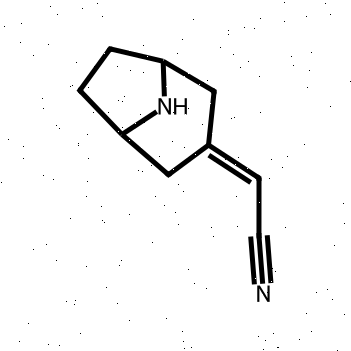 N#CC=C1CC2CCC(C1)N2